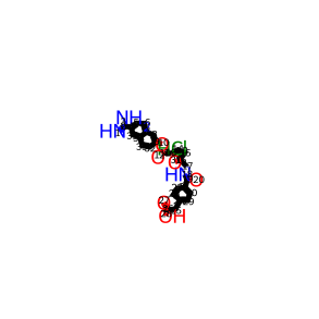 Cl.N=C(N)c1ccc2cc(OC(=O)c3ccc(CNC(=O)c4ccc(CC(=O)O)cc4)o3)ccc2c1